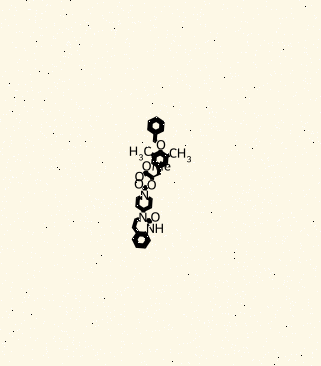 COC(=O)[C@@H](Cc1cc(C)c(OCc2ccccc2)c(C)c1)OC(=O)N1CCC(N2CCc3ccccc3NC2=O)CC1